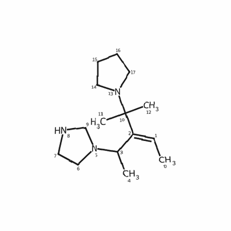 C/C=C(\C(C)N1CCNC1)C(C)(C)N1CCCC1